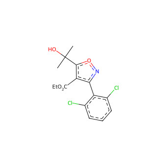 CCOC(=O)c1c(-c2c(Cl)cccc2Cl)noc1C(C)(C)O